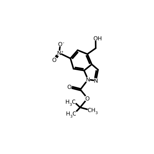 CC(C)(C)OC(=O)n1ncc2c(CO)cc([N+](=O)[O-])cc21